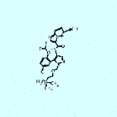 C#Cc1ccc2ncc(C(=O)Nc3cnn(COCC[Si](C)(C)C)c3-c3cc(Cl)ccc3OC(F)F)n2n1